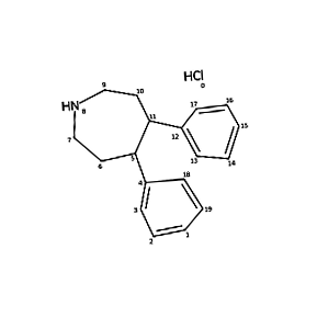 Cl.c1ccc(C2CCNCCC2c2ccccc2)cc1